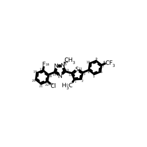 Cc1cc(-c2ccc(C(F)(F)F)cc2)sc1-c1nc(-c2c(F)cccc2Cl)nn1C